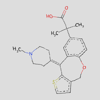 CN1CCC(=C2c3cc(C(C)(C)C(=O)O)ccc3OCc3ccsc32)CC1